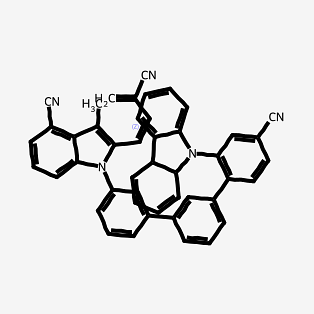 C=C(C#N)/C=C\c1c(C)c2c(C#N)cccc2n1-c1cccc(-c2cccc(-c3ccc(C#N)cc3N3c4ccccc4C4C=CC=CC43)c2)c1